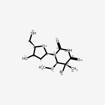 CO[C@H]1N([C@H]2CC(O)[C@@H](CO)O2)C(=O)NC(=O)[C@]1(C)Br